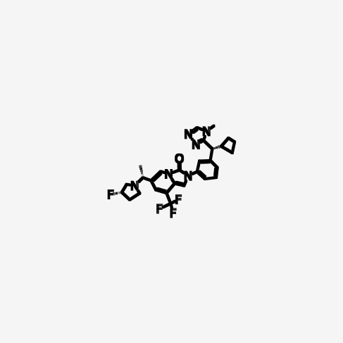 C[C@H](c1cc(C(F)(F)F)c2cn(-c3cccc([C@H](c4nncn4C)C4CCC4)c3)c(=O)n2c1)N1CC[C@H](F)C1